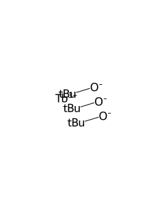 CC(C)(C)[O-].CC(C)(C)[O-].CC(C)(C)[O-].[Tb+3]